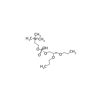 CCCOC[C@H](COP(=O)(O)OCC[N+](C)(C)C)OCCC